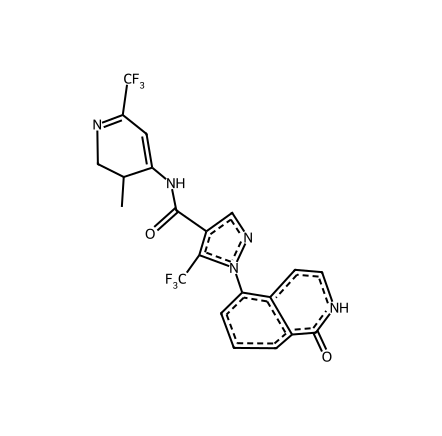 CC1CN=C(C(F)(F)F)C=C1NC(=O)c1cnn(-c2cccc3c(=O)[nH]ccc23)c1C(F)(F)F